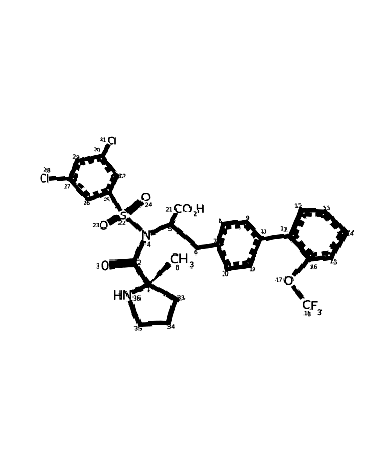 C[C@@]1(C(=O)N(C(Cc2ccc(-c3ccccc3OC(F)(F)F)cc2)C(=O)O)S(=O)(=O)c2cc(Cl)cc(Cl)c2)CCCN1